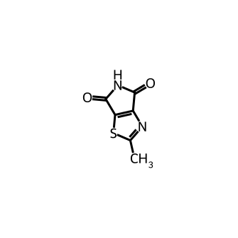 Cc1nc2c(s1)C(=O)NC2=O